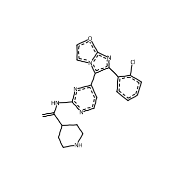 C=C(Nc1nccc(-c2c(-c3ccccc3Cl)nc3occn23)n1)C1CCNCC1